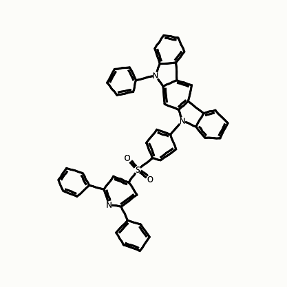 O=S(=O)(c1ccc(-n2c3ccccc3c3cc4c5ccccc5n(-c5ccccc5)c4cc32)cc1)c1cc(-c2ccccc2)nc(-c2ccccc2)c1